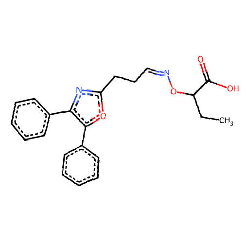 CCC(O/N=C\CCc1nc(-c2ccccc2)c(-c2ccccc2)o1)C(=O)O